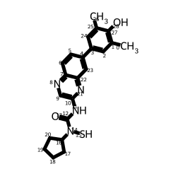 Cc1cc(-c2ccc3ncc(NC(=O)N(S)C4CCCC4)nc3c2)cc(C)c1O